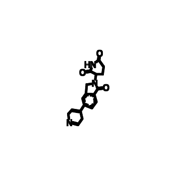 O=C1CCC(N2Cc3cc(C4=CCN=CC4)ccc3C2=O)C(=O)N1